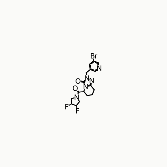 O=C([C@@H]1CCCc2nn(Cc3cncc(Br)c3)c(=O)n21)N1C[C@@H](F)[C@@H](F)C1